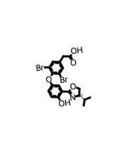 CC(C)[C@H]1COC(c2cc(Oc3c(Br)cc(CC(=O)O)cc3Br)ccc2O)=N1